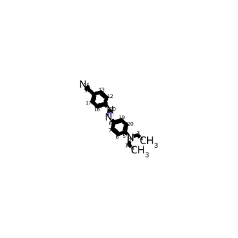 CCN(CC)c1ccc(/N=N/c2ccc(C#N)cc2)cc1